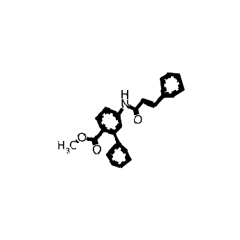 COC(=O)c1ccc(NC(=O)/C=C/c2ccccc2)cc1-c1ccccc1